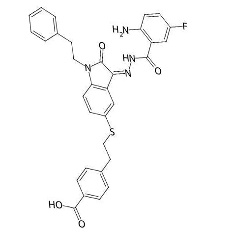 Nc1ccc(F)cc1C(=O)NN=C1C(=O)N(CCc2ccccc2)c2ccc(SCCc3ccc(C(=O)O)cc3)cc21